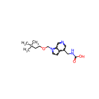 C[Si](C)(C)CCOCn1ccc2c(CNC(=O)O)cncc21